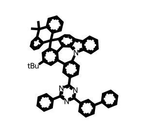 CC(C)(C)c1cc2c3c(c1)C1(c4ccccc4C(C)(C)c4ccccc41)c1ccc4c5ccccc5n(c4c1-3)-c1ccc(-c3nc(-c4ccccc4)nc(-c4cccc(-c5ccccc5)c4)n3)cc1-2